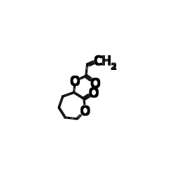 C=CC(=O)OC1CCCCOC1=O